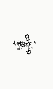 Cc1nc(NCc2ncccn2)nc(N[C@@H]2C[C@H](CO)[C@H]3OC(C)(C)O[C@H]32)c1-c1nc2ccccc2s1